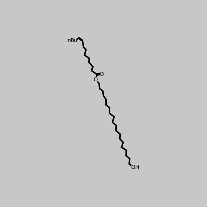 CCCC/C=C\CCCCCCCC(=O)OCCCCCCCCCCCCCCCCCCCCO